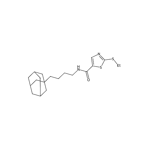 CCSc1ncc(C(=O)NCCCCC23CC4CC(CC(C4)C2)C3)s1